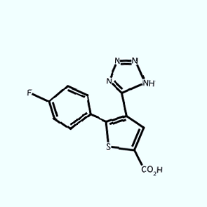 O=C(O)c1cc(-c2nnn[nH]2)c(-c2ccc(F)cc2)s1